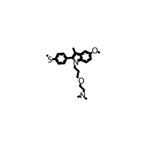 COc1ccc2c(c1)c(C)c(-c1ccc(SC)cc1)n2CCCOCCN(C)C